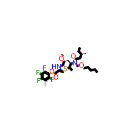 CCCCCOCN(C(=O)C[C@@H](C)CC)[C@H](C[C@@H](OC)C1NC(C(=O)Oc2c(F)c(F)c(F)c(F)c2F)=CS1)C(C)C